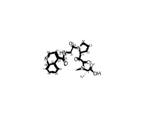 C[C@@H](C(=O)O)N(C)C(=O)C(=O)C1CCCN1C(=O)CNC(=O)c1ccnc2ccccc12